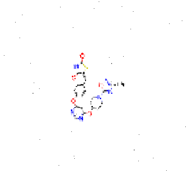 CC(C)c1noc(N2CCC(Oc3cc(Oc4ccc(C=C5SC(=O)NC5=O)cc4)ncn3)CC2)n1